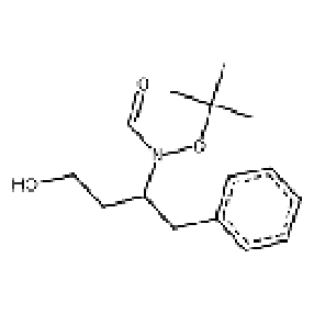 CC(C)(C)ON(C=O)C(CCO)Cc1ccccc1